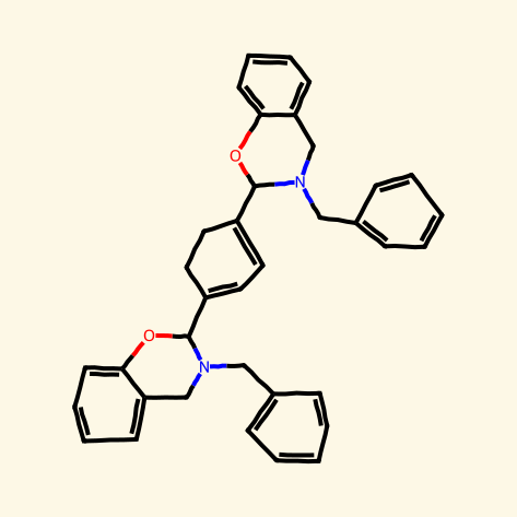 C1=C(C2Oc3ccccc3CN2Cc2ccccc2)CCC(C2Oc3ccccc3CN2Cc2ccccc2)=C1